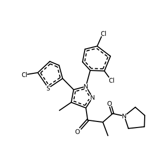 Cc1c(C(=O)C(C)C(=O)N2CCCC2)nn(-c2ccc(Cl)cc2Cl)c1-c1ccc(Cl)s1